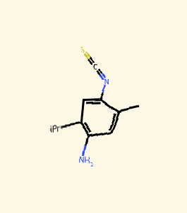 Cc1cc(N)c(C(C)C)cc1N=C=S